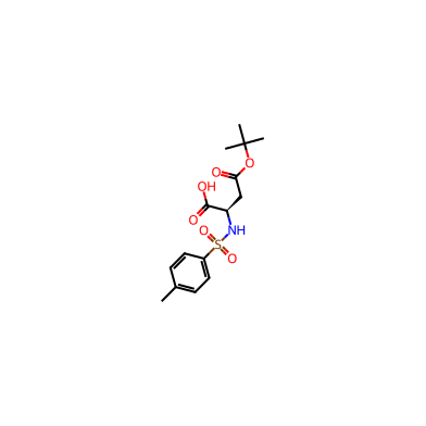 Cc1ccc(S(=O)(=O)N[C@H](CC(=O)OC(C)(C)C)C(=O)O)cc1